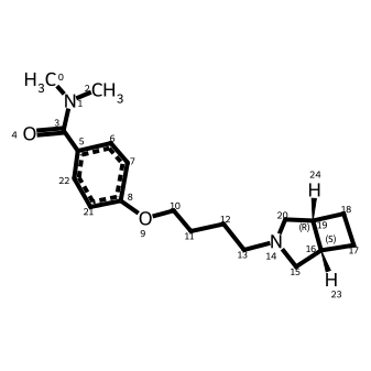 CN(C)C(=O)c1ccc(OCCCCN2C[C@H]3CC[C@H]3C2)cc1